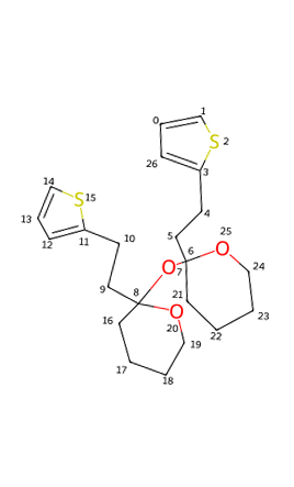 c1csc(CCC2(OC3(CCc4cccs4)CCCCO3)CCCCO2)c1